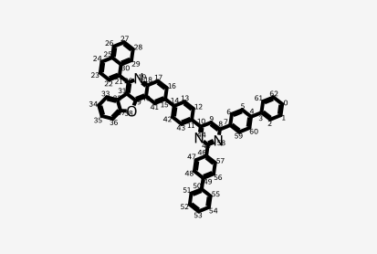 c1ccc(-c2ccc(-c3cc(-c4ccc(-c5ccc6nc(-c7cccc8ccccc78)c7c8ccccc8oc7c6c5)cc4)nc(-c4ccc(-c5ccccc5)cc4)n3)cc2)cc1